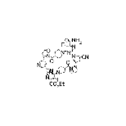 CCOC(=O)c1ncnc(N2CCC(C(=O)N3OCC[C@H]3c3cncc(C#N)c3)CC2)c1F.N#Cc1cncc([C@@H]2CCON2C(=O)C2CCN(c3ncnc(C(N)=O)c3F)CC2)c1